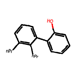 CCCc1cccc(-c2ccccc2O)c1CCC